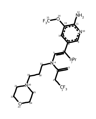 C=C(CC(F)(F)F)N(/C=C(\CCC)c1cnc(N)c(OC(F)(F)F)c1)CCCN1CCOCC1